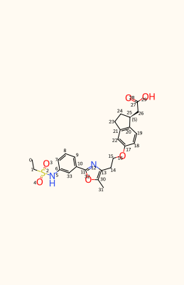 CCS(=O)(=O)Nc1cccc(-c2nc(CCOc3ccc4c(c3)CC[C@H]4CC(=O)O)c(C)o2)c1